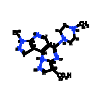 CCn1ncc2c1ncc1c(N3CCN(C)CC3)nc3c(C(=O)O)cnn3c12